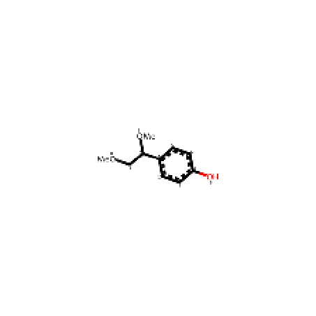 COCC(OC)c1ccc(O)cc1